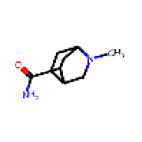 CN1CC2CCC1CC2C(N)=O